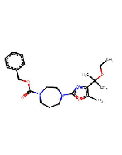 CCOC(C)(C)c1nc(N2CCCN(C(=O)OCc3ccccc3)CC2)oc1C